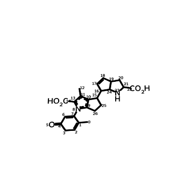 CC1=CCC(=O)C=C1n1c2c(c(C)c1C(=O)O)C(C1C=CC3CC(C(=O)O)NC31)CC2